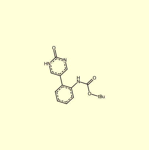 CC(C)(C)OC(=O)Nc1ccccc1-c1cnc(=O)[nH]c1